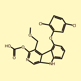 COCc1c(OC(=O)O)ncc2[nH]c3cccc(Oc4cc(Cl)ccc4Cl)c3c12